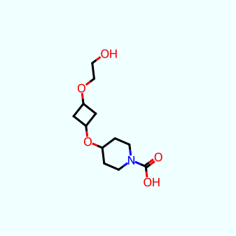 O=C(O)N1CCC(OC2CC(OCCO)C2)CC1